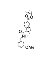 COc1cccc(CNC(=O)c2ncn3cc(B4OC(C)(C)C(C)(C)O4)ccc23)c1